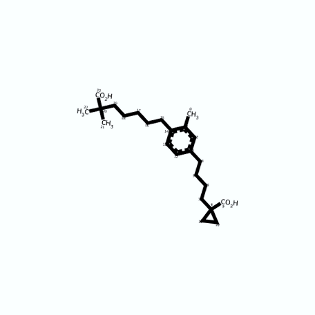 Cc1cc(CCCCC2(C(=O)O)CC2)ccc1CCCCCC(C)(C)C(=O)O